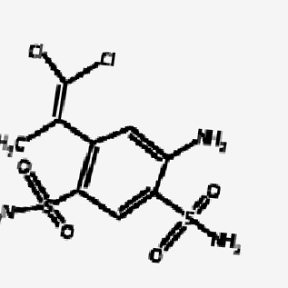 CC(=C(Cl)Cl)c1cc(N)c(S(N)(=O)=O)cc1S(N)(=O)=O